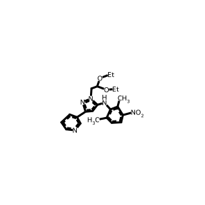 CCOC(Cn1nc(-c2cccnc2)cc1Nc1c(C)ccc([N+](=O)[O-])c1C)OCC